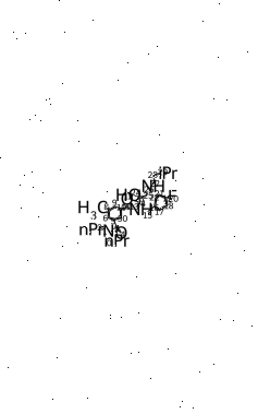 CCCN(CCC)C(=O)c1cc(C)cc(C(=O)N[C@@H](Cc2ccc(F)cc2)[C@H](O)CNCCC(C)C)c1